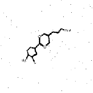 CCCC(C)CCCC1COC(C2CCC(C)C(F)C2)OC1